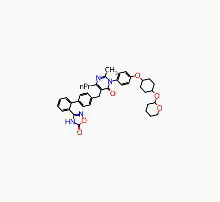 CCCc1nc(C)n(-c2ccc(OC3CCC(OC4CCCCO4)CC3)cc2)c(=O)c1Cc1ccc(-c2ccccc2-c2noc(=O)[nH]2)cc1